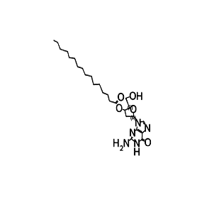 CCCCCCCCCCCCCCCC(=O)OC1C[C@H](n2cnc3c(=O)[nH]c(N)nc32)O[C@@H]1CO